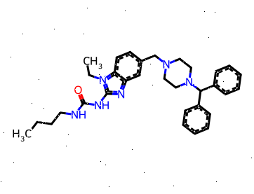 CCCCNC(=O)Nc1nc2cc(CN3CCN(C(c4ccccc4)c4ccccc4)CC3)ccc2n1CC